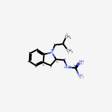 CC(C)CN1c2ccccc2CC1CNC(=N)N